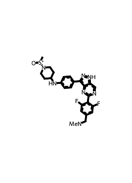 CNCc1cc(F)c(-c2ncc3[nH]nc(-c4ccc(NC5CCN([S+](C)[O-])CC5)cc4)c3n2)c(F)c1